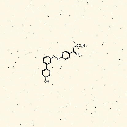 C=C(CC(=O)O)c1ccc(OCc2cccc(C3=CCC(O)CC3)c2)cc1